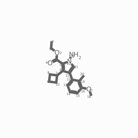 CCOC(=O)c1c(C2CCC2)c(-c2cccc(OC)c2C)cn1N